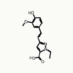 CCn1nc(/C=C/c2ccc(O)c(OC)c2)cc1C(=O)O